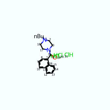 CCCCN1CCN(C(=O)c2cccc3ccccc23)CC1.Cl.Cl.Cl